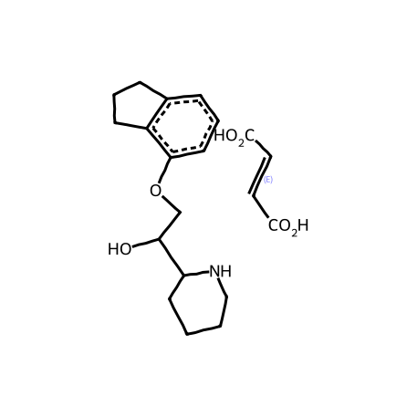 O=C(O)/C=C/C(=O)O.OC(COc1cccc2c1CCC2)C1CCCCN1